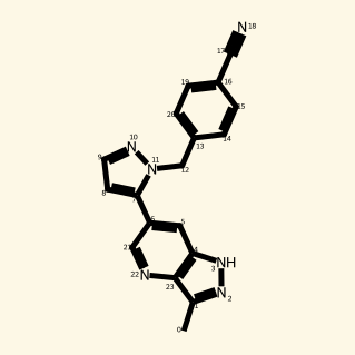 Cc1n[nH]c2cc(-c3ccnn3Cc3ccc(C#N)cc3)cnc12